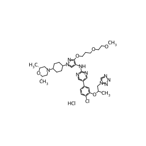 COCCOCCCOc1nn(C2CCC(N3C[C@@H](C)O[C@@H](C)C3)CC2)cc1Nc1ncc(-c2ccc(Cl)c(OC(C)Cn3cnnn3)c2)cn1.Cl